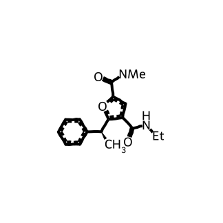 CCNC(=O)c1cc(C(=O)NC)oc1[C@@H](C)c1ccccc1